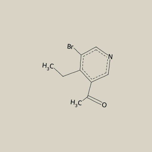 CCc1c(Br)cncc1C(C)=O